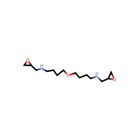 C(CCOCCCCNCC1CO1)CNCC1CO1